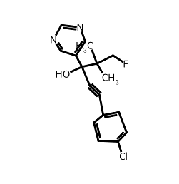 CC(C)(CF)C(O)(C#Cc1ccc(Cl)cc1)c1cncnc1